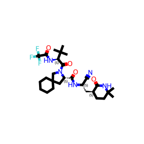 CC1(C)CC[C@@H](C[C@@H](C#N)NC(=O)[C@@H]2CC3(CCCCC3)CN2C(=O)[C@@H](NC(=O)C(F)(F)F)C(C)(C)C)C(=O)N1